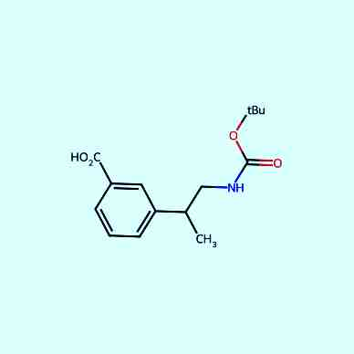 CC(CNC(=O)OC(C)(C)C)c1cccc(C(=O)O)c1